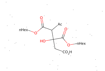 CCCCCCOC(=O)C(C(C)=O)C(O)(CC(=O)O)C(=O)OCCCCCC